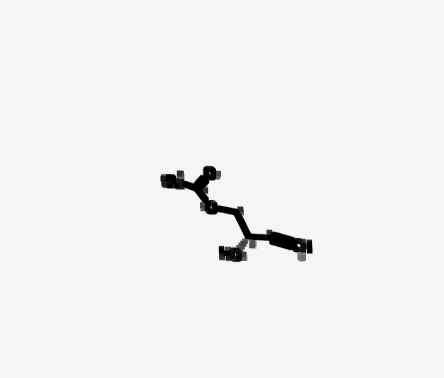 C#C[C@H](O)COC(=O)C(C)(C)C